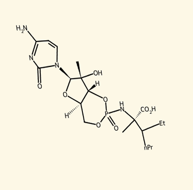 CCCC(CC)[C@@](C)(NP1(=O)OC[C@H]2O[C@@H](n3ccc(N)nc3=O)[C@](C)(O)[C@@H]2O1)C(=O)O